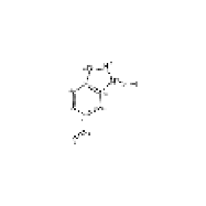 C=Cc1ccc2nnn(O)c2c1